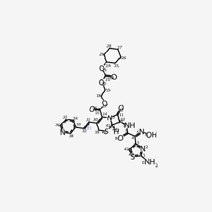 Nc1nc(C(=NO)C(=O)N[C@@H]2C(=O)N3C(C(=O)OCCOC(=O)OC4CCCCC4)=C(/C=C/c4cccnc4)CS[C@@H]23)cs1